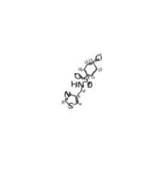 O=S(=O)(NCc1cscn1)c1ccc(Cl)cc1